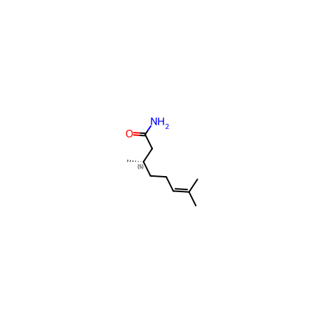 CC(C)=CCC[C@H](C)CC(N)=O